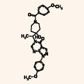 COc1ccc(C(=O)N2CCC(O)(C(C)n3cnc4c(cnn4-c4ccc(OC)cc4)c3=O)CC2)cc1